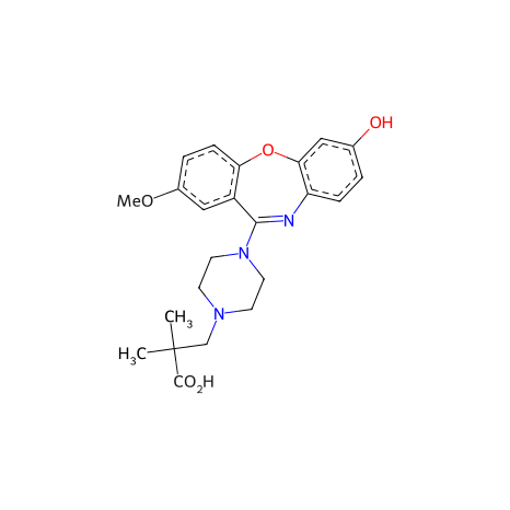 COc1ccc2c(c1)C(N1CCN(CC(C)(C)C(=O)O)CC1)=Nc1ccc(O)cc1O2